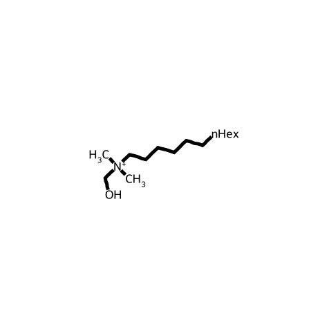 CCCCCCCCCCCC[N+](C)(C)CO